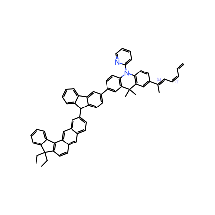 C=C/C=C\C=C(/C)c1ccc2c(c1)C(C)(C)c1cc(-c3ccc4c(c3)-c3ccccc3C4c3ccc4cc5ccc6c(c5cc4c3)-c3ccccc3C6(CC)CC)ccc1N2c1ccccn1